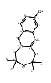 CC1(C)CC2=Nc3cc(Cl)ccc3CN2CC(C)(C)C1